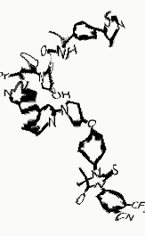 Cc1ncsc1-c1ccc([C@H](C)NC(=O)[C@@H]2C[C@@H](O)CN2C(=O)C(C(C)C)n2cc(-c3ccnc(N4CCC(Oc5ccc(N6C(=S)N(c7ccc(C#N)c(C(F)(F)F)c7)C(=O)C6(C)C)cc5)C4)c3)cn2)cc1